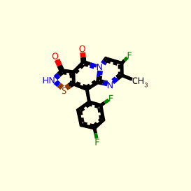 Cc1nc2c(-c3ccc(F)cc3F)c3s[nH]c(=O)c3c(=O)n2cc1F